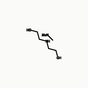 CNC.OCCNCCO